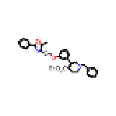 CCOC(=O)C1=C(c2cccc(OCCc3nc(-c4ccccc4)oc3C)c2)CN(Cc2ccccc2)CC1